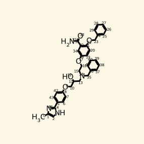 Cc1c[nH]c(-c2ccc(OCC(O)CN(CCOc3ccc(OCc4ccccc4)c(C(N)=O)c3)Cc3ccccc3)cc2)n1